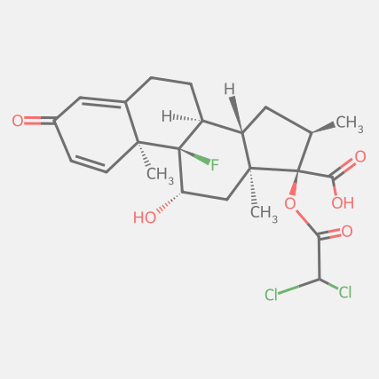 C[C@@H]1C[C@H]2[C@@H]3CCC4=CC(=O)C=C[C@]4(C)[C@@]3(F)[C@@H](O)C[C@]2(C)[C@@]1(OC(=O)C(Cl)Cl)C(=O)O